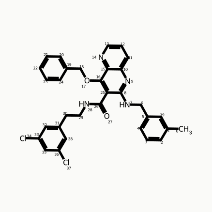 Cc1cccc(CNc2nc3cccnc3c(OCc3ccccc3)c2C(=O)NCCc2cc(Cl)cc(Cl)c2)c1